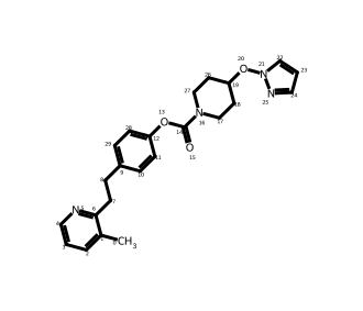 Cc1cccnc1CCc1ccc(OC(=O)N2CCC(On3cccn3)CC2)cc1